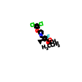 CC(C)(C)OC(=O)c1cc(C2CC2)c(CN2CCCC(Oc3cc(Cl)cc(Cl)c3)C2)cc1F